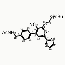 CCCCSCSc1nc(-c2nccs2)cc(-c2ccc(CNC(C)=O)cc2)c1C#N